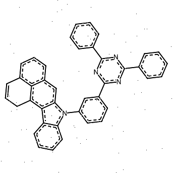 C1=Cc2cccc3cc4c(c(c23)C1)c1ccccc1n4-c1cccc(-c2nc(-c3ccccc3)nc(-c3ccccc3)n2)c1